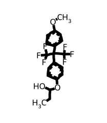 CCC(O)Oc1ccc(C(c2ccc(OC)cc2)(C(F)(F)F)C(F)(F)F)cc1